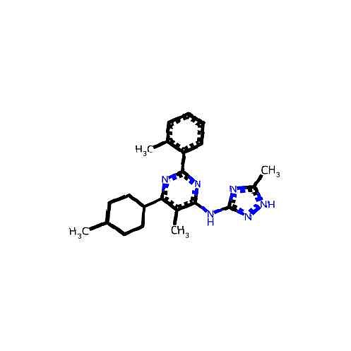 Cc1nc(Nc2nc(-c3ccccc3C)nc(C3CCC(C)CC3)c2C)n[nH]1